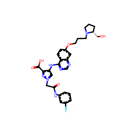 O=C(Cn1cc(Nc2ncnc3cc(OCCCN4CCC[C@@H]4CO)ccc23)c(C(=O)O)n1)Nc1cccc(F)c1